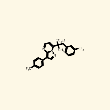 CCOC(=O)C(C)(Cc1cccc(C(F)(F)F)c1)c1ccnc2c(-c3ccc(C(F)(F)F)cc3)cnn12